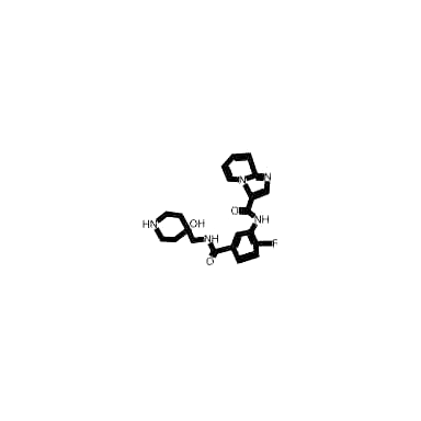 O=C(NCC1(O)CCNCC1)c1ccc(F)c(NC(=O)c2cnc3ccccn23)c1